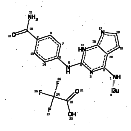 CC[C@@H](C)Nc1nc(Nc2ccc(C(N)=O)cc2)[nH]c2nccc1-2.O=C(O)C(F)(F)F